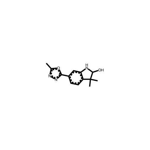 Cc1nnc(-c2ccc3c(c2)NC(O)C3(C)C)o1